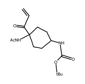 C=CC(=O)C1(NC(C)=O)CCC(NC(=O)OC(C)(C)C)CC1